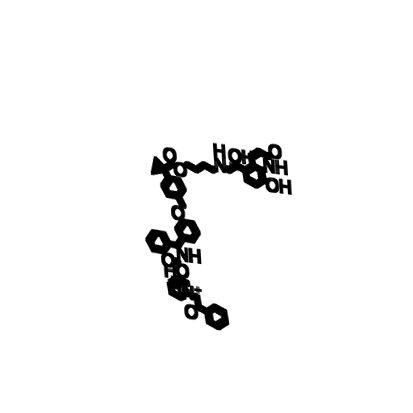 O=C(NC(c1ccccc1)c1cccc(OCc2ccc(C3(C(=O)OCCCCNC[C@H](O)c4ccc(O)c5[nH]c(=O)ccc45)CC3)cc2)c1)O[C@H]1C[N+]2(CC(=O)c3ccccc3)CCC1CC2